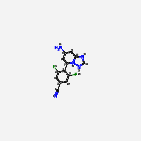 N#Cc1cc(F)c(-c2cc(N)cc3ncnn23)c(F)c1